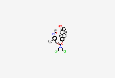 CC(C)C(=O)Nc1ccc([N+](=O)[O-])c(C(F)(F)F)c1.C[C@]12CC[C@@H]3c4ccc(OC(=O)N(CCCl)CCCl)cc4CC[C@H]3[C@@H]1CC[C@@H]2O